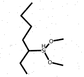 [CH2]CC(CCCC)[SiH](OC)OC